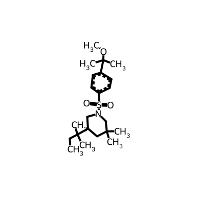 CCC(C)(C)C1CN(S(=O)(=O)c2ccc(C(C)(C)OC)cc2)CC(C)(C)C1